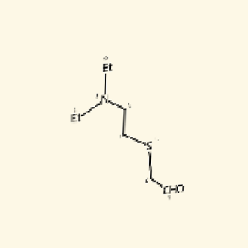 CCN(CC)CCSCC=O